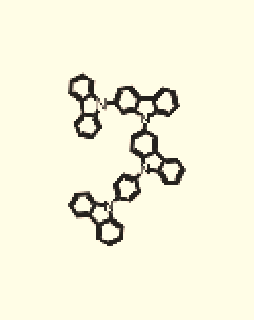 c1ccc2c(c1)c1ccccc1n2-c1ccc(-n2c3ccccc3c3cc(-n4c5ccccc5c5ccc(-n6c7ccccc7c7ccccc76)cc54)ccc32)cc1